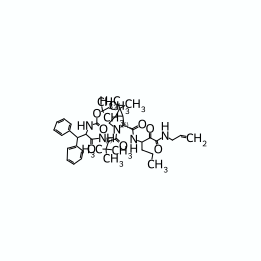 C=CCNC(=O)C(=O)C(CCC)NC(=O)[C@@H]1C2C(CN1C(=O)[C@@H](NC(=O)C(NC(=O)OC(C)(C)C)C(c1ccccc1)c1ccccc1)C(C)(C)C)C2(C)C